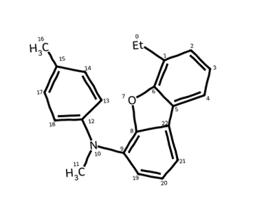 CCc1cccc2c1oc1c(N(C)c3ccc(C)cc3)cccc12